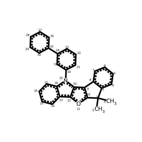 CC1(C)c2ccccc2-c2c1oc1c3ccccc3n(-c3cccc(-c4ccccc4)c3)c21